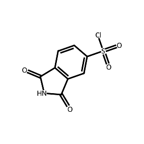 O=C1NC(=O)c2cc(S(=O)(=O)Cl)ccc21